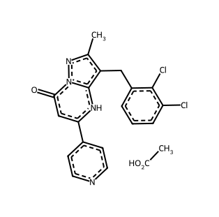 CC(=O)O.Cc1nn2c(=O)cc(-c3ccncc3)[nH]c2c1Cc1cccc(Cl)c1Cl